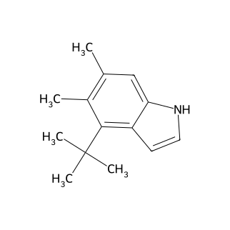 Cc1cc2[nH]ccc2c(C(C)(C)C)c1C